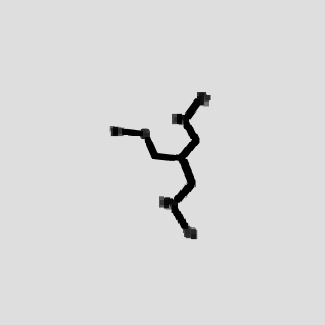 CCNCC(CNC(C)C)COC(C)C